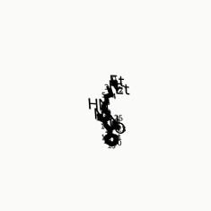 CCN(CC)CCCCNc1cc2c(cn1)cc(-c1ccccc1)c(=O)n2C